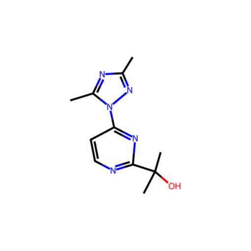 Cc1nc(C)n(-c2ccnc(C(C)(C)O)n2)n1